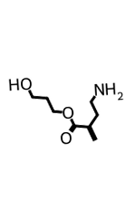 C=C(CCN)C(=O)OCCCO